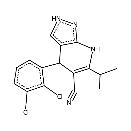 CC(C)C1=C(C#N)C(c2cccc(Cl)c2Cl)c2c[nH]nc2N1